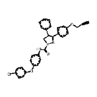 C#CCOc1ccc(C2=NN(C(=O)Nc3ccc(Oc4ccc(Cl)cc4)cc3)CC2c2ccccc2)cc1